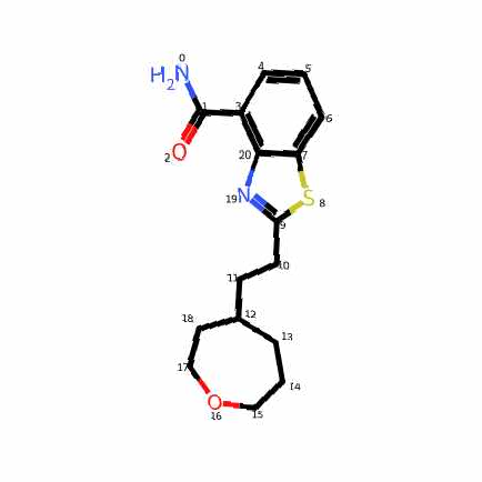 NC(=O)c1cccc2sc(CCC3CCCOCC3)nc12